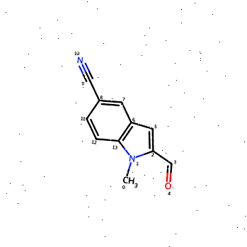 Cn1c(C=O)cc2cc(C#N)ccc21